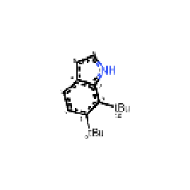 CC(C)(C)c1ccc2cc[nH]c2c1C(C)(C)C